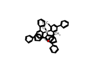 Cc1cc(-c2ccccc2)cc(-c2ccccc2)c1[Si](Cl)(c1c(C)cc(-c2ccccc2)cc1-c1ccccc1)c1c(C)cc(-c2ccccc2)cc1-c1ccccc1